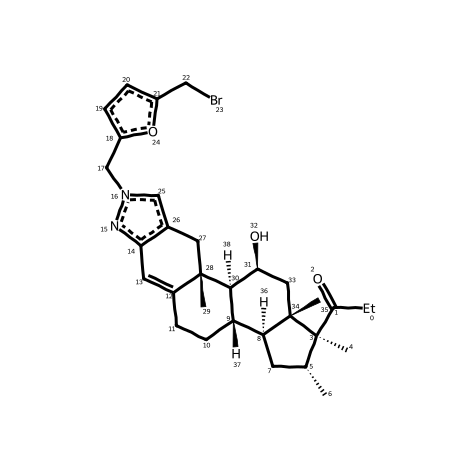 CCC(=O)[C@@]1(C)[C@H](C)C[C@H]2[C@@H]3CCC4=Cc5nn(Cc6ccc(CBr)o6)cc5C[C@]4(C)[C@H]3[C@@H](O)C[C@@]21C